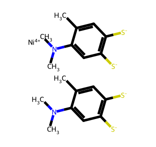 Cc1cc([S-])c([S-])cc1N(C)C.Cc1cc([S-])c([S-])cc1N(C)C.[Ni+4]